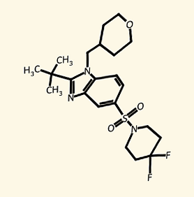 CC(C)(C)c1nc2cc(S(=O)(=O)N3CCC(F)(F)CC3)ccc2n1CC1CCOCC1